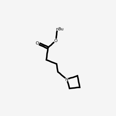 CCCCOC(=O)CCCN1CCC1